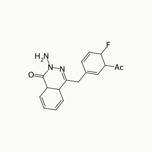 CC(=O)C1C=C(CC2=NN(N)C(=O)C3C=CC=CC23)C=CC1F